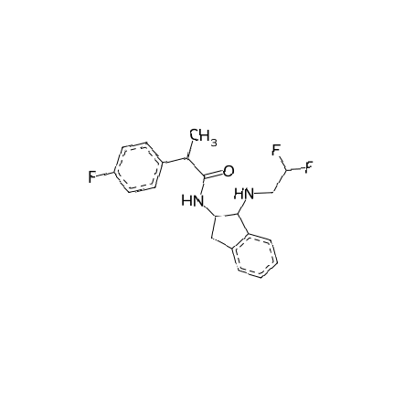 CC(C(=O)NC1Cc2ccccc2C1NCC(F)F)c1ccc(F)cc1